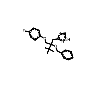 CC(C)(C)C(COc1ccc(F)cc1)(Cc1nc[nH]n1)OCc1ccccc1